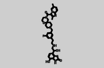 Cc1ccc2nc(C)c(C(=O)N3CCOC4(CCN(Cc5cc(F)cc(CCNCC(O)c6ccc(O)c7[nH]c(=O)sc67)c5)CC4)C3)n2c1